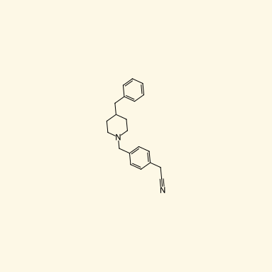 N#CCc1ccc(CN2CCC(Cc3ccccc3)CC2)cc1